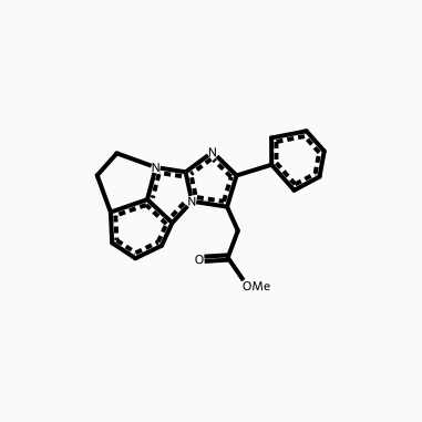 COC(=O)Cc1c(-c2ccccc2)nc2n3c4c(cccc4n12)CC3